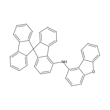 c1ccc2c(c1)-c1ccccc1C21c2ccccc2-c2c(Nc3cccc4oc5ccccc5c34)cccc21